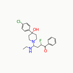 CCNC(CC(F)C(=O)c1ccccc1)N1CCC(O)(c2ccc(Cl)cc2)CC1